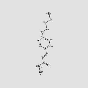 O=C(/C=C/c1ccc(OCCCBr)cc1)NO